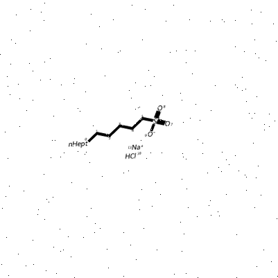 CCCCCCCCCCCCS(=O)(=O)[O-].Cl.[Na+]